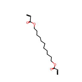 C=CC(=O)OCCCCCCCCCCCOC(=O)C=C